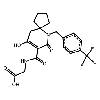 O=C(O)CNC(=O)C1=C(O)CC2(CCCC2)N(Cc2ccc(C(F)(F)F)cc2)C1=O